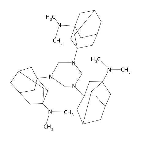 CN(C)C12CC3CC(C1)CC(N1CN(C45CC6CC(CC(N(C)C)(C6)C4)C5)CN(C45CC6CC(CC(N(C)C)(C6)C4)C5)C1)(C3)C2